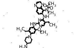 C=Cc1cnc(Nc2cc(CC)c(N3CCC(N)CC3)cc2OC)nc1Nc1ccc2nccnc2c1N(C)S(C)(=O)=O